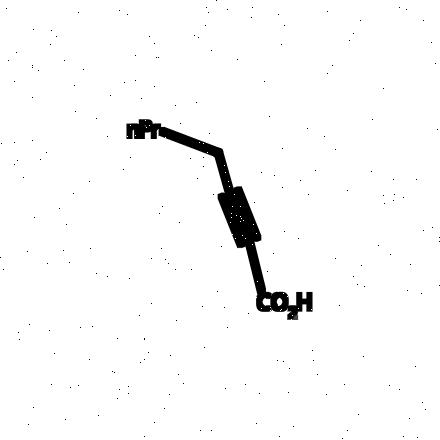 [CH2]CCCC#CC(=O)O